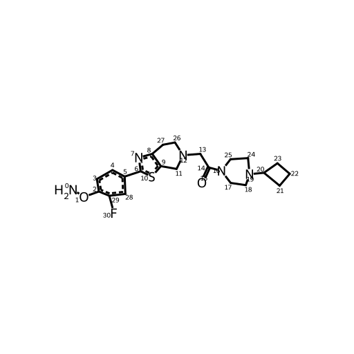 NOc1ccc(-c2nc3c(s2)CN(CC(=O)N2CCN(C4CCC4)CC2)CC3)cc1F